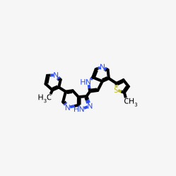 Cc1ccc(-c2cncc3[nH]c(-c4n[nH]c5ncc(-c6cnccc6C)cc45)cc23)s1